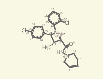 C[C@@H]1C(C(=O)NN2CC=CCC2)=NN(c2ccccc2Cl)[C@@H]1c1ccc(Cl)cc1